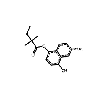 CCC(C)(C)C(=O)Oc1ccc(O)c2cc(O)ccc12